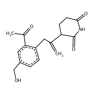 C=C(Cc1ccc(CO)cc1C(C)=O)C1CCC(=O)NC1=O